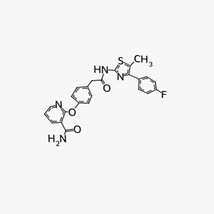 Cc1sc(NC(=O)Cc2ccc(Oc3ncccc3C(N)=O)cc2)nc1-c1ccc(F)cc1